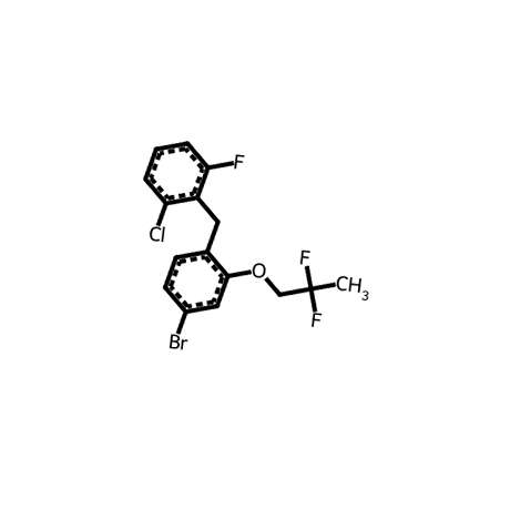 CC(F)(F)COc1cc(Br)ccc1Cc1c(F)cccc1Cl